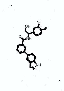 O=C(NC(CO)c1ccc(F)c(F)c1)c1cccc(-c2ccc3[nH]ncc3c2)c1